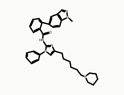 Cn1ncc2cc(-c3ccccc3C(=O)Nc3nc(CCCCCCN4CCCCC4)cn3-c3ccccc3)ccc21